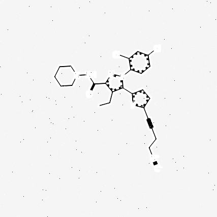 [C-]#[N+]CCC#Cc1ccc(-c2c(CC)c(C(=O)NN3CCCCC3)nn2-c2ccc(Cl)cc2Cl)s1